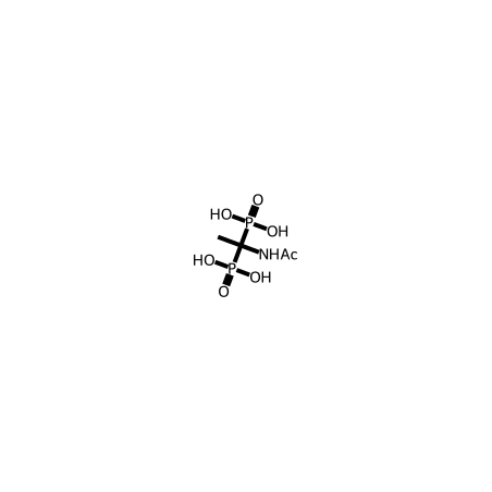 CC(=O)NC(C)(P(=O)(O)O)P(=O)(O)O